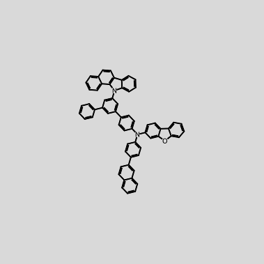 c1ccc(-c2cc(-c3ccc(N(c4ccc(-c5ccc6ccccc6c5)cc4)c4ccc5c(c4)oc4ccccc45)cc3)cc(-n3c4ccccc4c4ccc5ccccc5c43)c2)cc1